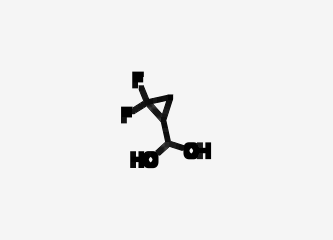 OC(O)C1CC1(F)F